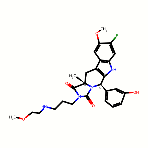 COCCNCCCN1C(=O)N2[C@H](c3cccc(O)c3)c3[nH]c4cc(F)c(OC)cc4c3C[C@@]2(C)C1=O